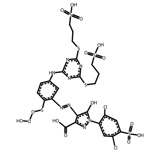 O=C(O)c1nn(-c2cc(Cl)c(S(=O)(=O)O)cc2Cl)c(O)c1/N=N/c1cc(Nc2nc(SCCCS(=O)(=O)O)nc(SCCCS(=O)(=O)O)n2)ccc1SOOO